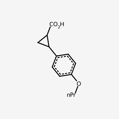 CCCOc1ccc(C2CC2C(=O)O)cc1